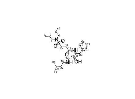 CCCN(CCC)S(=O)(=O)CCC(=O)N[C@@H](Cc1cccs1)[C@@H](O)CNCCC(C)C